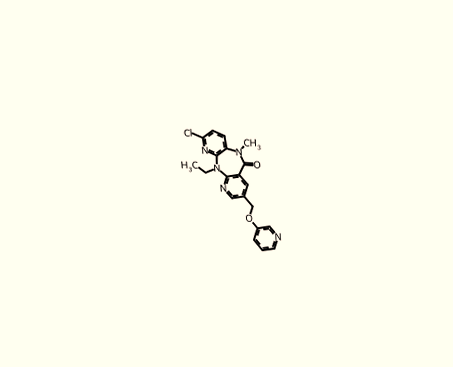 CCN1c2ncc(COc3cccnc3)cc2C(=O)N(C)c2ccc(Cl)nc21